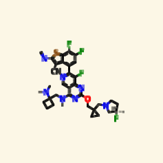 C=Nc1sc2c(F)c(F)cc(-c3ncc4c(N(C)CC5(N(C)C)CCC5)nc(OCC5(CN6CC[C@@](C)(F)C6)CC5)nc4c3F)c2c1C#N